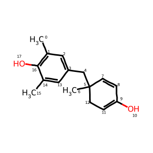 Cc1cc(CC2(C)C=CC(O)=CC2)cc(C)c1O